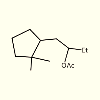 CCC(CC1CCCC1(C)C)OC(C)=O